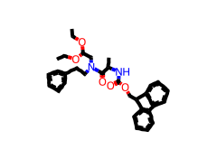 CCOC(CN(CCc1ccccc1)C(=O)C(C)NC(=O)OCC1c2ccccc2-c2ccccc21)OCC